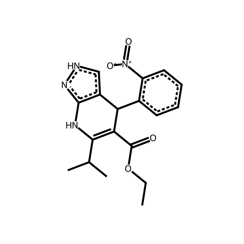 CCOC(=O)C1=C(C(C)C)Nc2n[nH]cc2C1c1ccccc1[N+](=O)[O-]